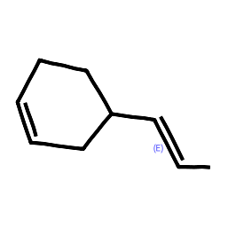 C/C=C/C1CC=CCC1